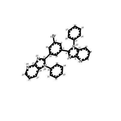 Brc1cc(-c2nc3ncccc3n2-c2ccccc2)cc(-c2nc3ncccc3n2-c2ccccc2)c1